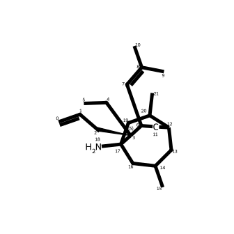 C=CC[C@@]1(CC)C(C=C(C)C)CC2CC(C)CC1(N)CC2C